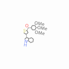 COc1cc(C(=O)c2cc(-c3c[nH]c4ccccc34)cs2)cc(OC)c1OC